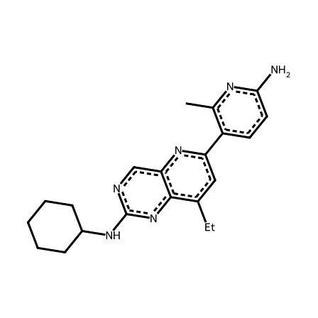 CCc1cc(-c2ccc(N)nc2C)nc2cnc(NC3CCCCC3)nc12